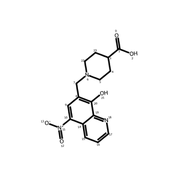 O=C(O)C1CCN(Cc2cc([N+](=O)[O-])c3cccnc3c2O)CC1